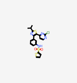 CC(C)c1nc(-c2cccc(NS(=O)(=O)c3cccs3)c2)c(-c2ccnc(Cl)n2)s1